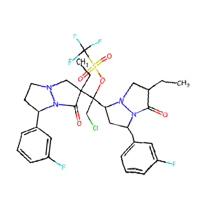 CCC1CN2C(C(CCl)(OS(=O)(=O)C(F)(F)F)C3(CC)CN4CCC(c5cccc(F)c5)N4C3=O)CC(c3cccc(F)c3)N2C1=O